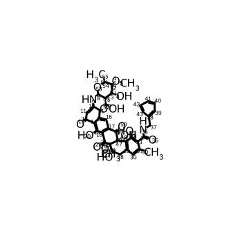 CO[C@@H]1[C@@H](O)[C@@H](CO)C(NC2=CC(=O)c3c(cc4c(c3O)C(=O)[C@]3(OC)[C@H](O)Cc5cc(C)c(C(=O)NCc6ccccc6)c(O)c5[C@]3(O)C4=O)C2=O)O[C@H]1C